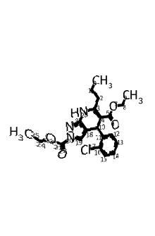 CCCC1=C(C(=O)OCC)C(c2ccccc2Cl)c2cn(C(=O)OCC)nc2N1